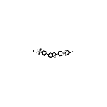 CCc1cnc(N2CCC(C3Cc4cc(-c5ccc(S(C)(=O)=O)cc5)ccc4O3)CC2)nc1